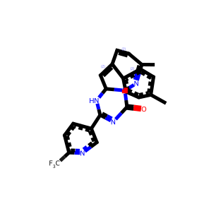 CC1=N/N2C(=O)N=C(c3ccc(C(F)(F)F)nc3)NC2/C=C(c2ccc(C)cc2)/C=C\1